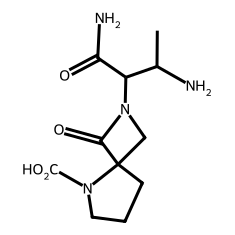 CC(N)C(C(N)=O)N1CC2(CCCN2C(=O)O)C1=O